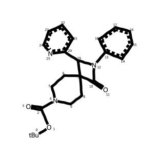 CC(C)(C)OC(=O)N1CCC2(CC1)C(=O)N(c1ccccc1)C2c1ccccn1